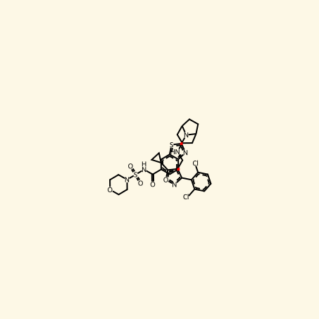 O=C(NS(=O)(=O)N1CCOCC1)c1ccc2nc(N3C4CCC3CC(NCc3c(-c5c(Cl)cccc5Cl)noc3C3CC3)C4)sc2c1